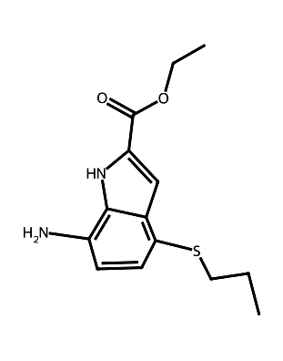 CCCSc1ccc(N)c2[nH]c(C(=O)OCC)cc12